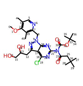 COc1c(C)cnc(Cn2nc(CC(O)CO)c3c(Cl)nc(N(C(=O)CC(C)(C)C)C(=O)OC(C)(C)C)nc32)c1C